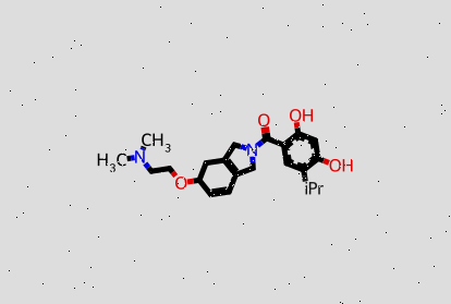 CC(C)c1cc(C(=O)N2CC3=C(CC(OCCN(C)C)C=C3)C2)c(O)cc1O